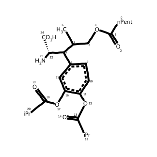 CCCCCC(=O)OCC(C)C(c1ccc(OC(=O)C(C)C)c(OC(=O)C(C)C)c1)[C@H](N)C(=O)O